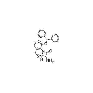 C=CC1=C(C(=O)OC(c2ccccc2)c2ccccc2)N2C(=O)[C@@H](N)[C@@H]2SC1